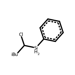 CCC(C)C(Cl)[SiH2]c1ccccc1